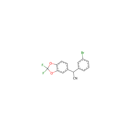 N#CC(c1cccc(Br)c1)c1ccc2c(c1)OC(F)(F)O2